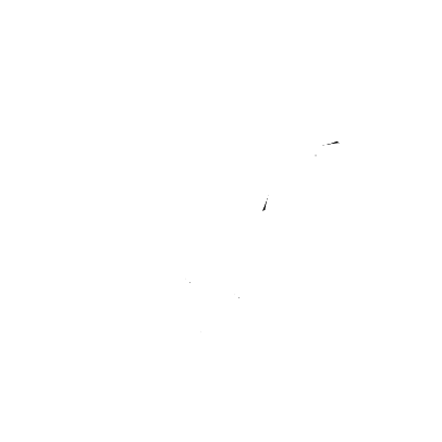 CC(C)c1nc(N(C)S(C)(=O)=O)nc(-c2ccc(F)cc2)c1C=C[C@@H]1C[C@H](CC(=O)O)OC(C)(C)O1.OCCNCCO